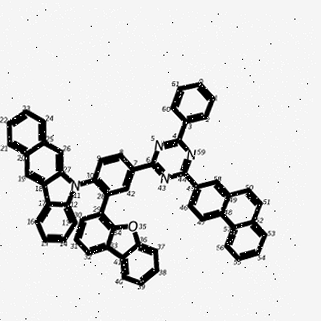 c1ccc(-c2nc(-c3ccc(-n4c5ccccc5c5cc6ccccc6cc54)c(-c4cccc5c4oc4ccccc45)c3)nc(-c3ccc4c(ccc5ccccc54)c3)n2)cc1